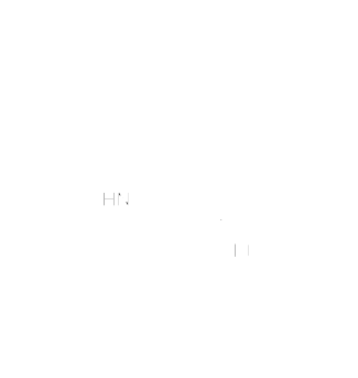 CCC(C)(C)c1cccc(Nc2ccccc2)c1